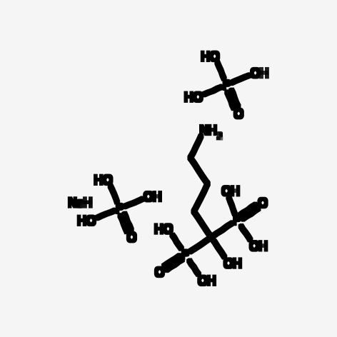 NCCCC(O)(P(=O)(O)O)P(=O)(O)O.O=P(O)(O)O.O=P(O)(O)O.[NaH]